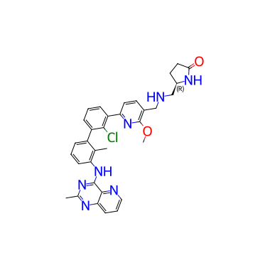 COc1nc(-c2cccc(-c3cccc(Nc4nc(C)nc5cccnc45)c3C)c2Cl)ccc1CNC[C@H]1CCC(=O)N1